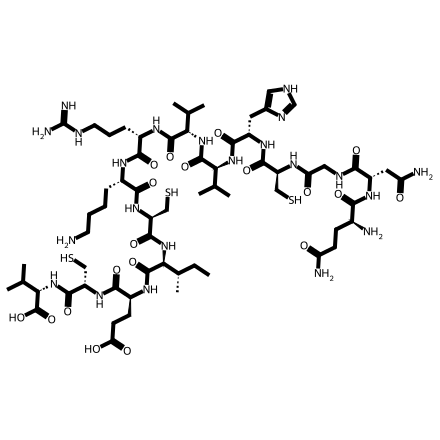 CC[C@H](C)[C@H](NC(=O)[C@H](CS)NC(=O)[C@H](CCCCN)NC(=O)[C@H](CCCNC(=N)N)NC(=O)[C@@H](NC(=O)[C@@H](NC(=O)[C@H](Cc1c[nH]cn1)NC(=O)[C@H](CS)NC(=O)CNC(=O)[C@H](CC(N)=O)NC(=O)[C@@H](N)CCC(N)=O)C(C)C)C(C)C)C(=O)N[C@@H](CCC(=O)O)C(=O)N[C@@H](CS)C(=O)N[C@H](C(=O)O)C(C)C